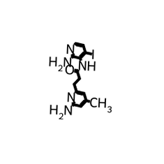 Cc1cc(N)nc(CCC(=O)Nc2c(I)ccnc2N)c1